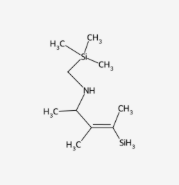 CC([SiH3])=C(C)C(C)NC[Si](C)(C)C